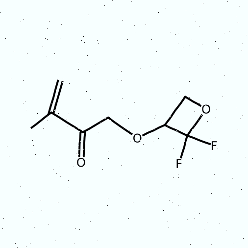 C=C(C)C(=O)COC1COC1(F)F